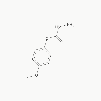 COc1ccc(OC(=O)NN)cc1